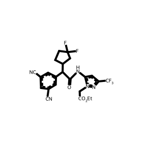 CCOC(=O)Cn1nc(C(F)(F)F)cc1NC(=O)C(c1cc(C#N)cc(C#N)c1)C1CCC(F)(F)C1